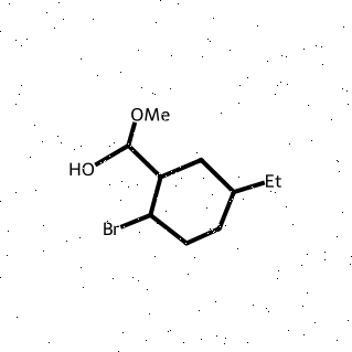 CCC1CCC(Br)C(C(O)OC)C1